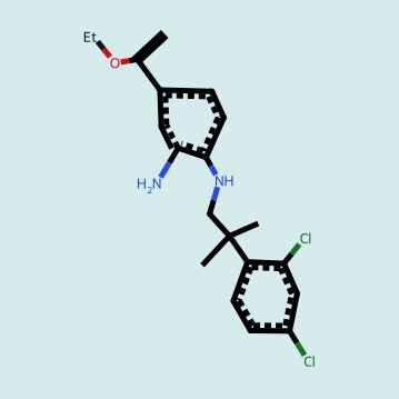 C=C(OCC)c1ccc(NCC(C)(C)c2ccc(Cl)cc2Cl)c(N)c1